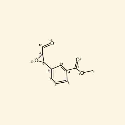 COC(=O)c1cccc(C2OC2C=O)c1